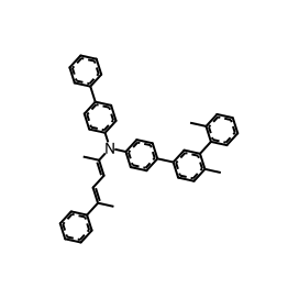 C/C(=C\C=C(/C)N(c1ccc(-c2ccccc2)cc1)c1ccc(-c2ccc(C)c(-c3ccccc3C)c2)cc1)c1ccccc1